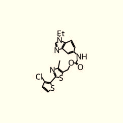 CCn1cnc2cc(NC(=O)OCc3sc(-c4sccc4Cl)nc3C)ccc21